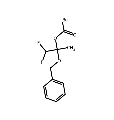 CCC(C)C(=O)OC(C)(OCc1ccccc1)C(F)F